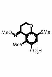 CON=C1CCOc2c(SC)cc(C(=O)O)c(SC)c21